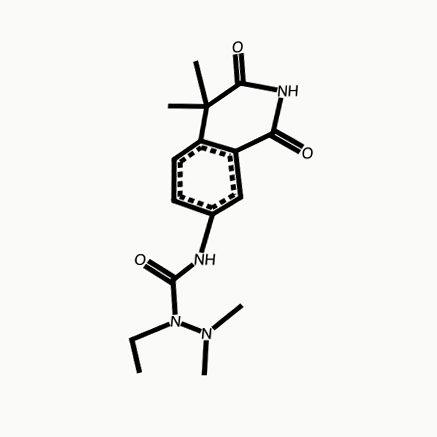 CCN(C(=O)Nc1ccc2c(c1)C(=O)NC(=O)C2(C)C)N(C)C